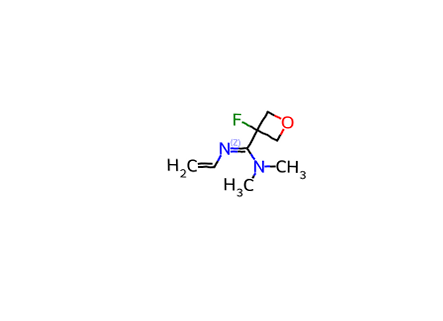 C=C/N=C(\N(C)C)C1(F)COC1